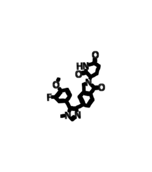 COc1ccc(-c2c(-c3ccc4c(c3)CN(C3CCC(=O)NC3=O)C4=O)ncn2C)cc1F